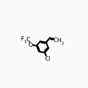 C=Cc1cc(Cl)cc(OC(F)(F)F)c1